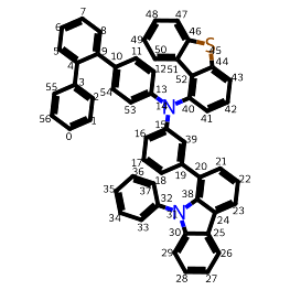 c1ccc(-c2ccccc2-c2ccc(N(c3cccc(-c4cccc5c6ccccc6n(-c6ccccc6)c45)c3)c3cccc4sc5ccccc5c34)cc2)cc1